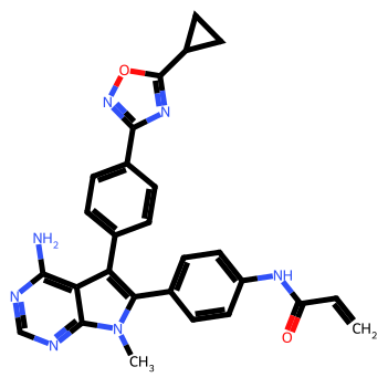 C=CC(=O)Nc1ccc(-c2c(-c3ccc(-c4noc(C5CC5)n4)cc3)c3c(N)ncnc3n2C)cc1